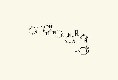 c1ccc(Cc2cnc(N3CCN(c4ncnc(Nc5cnn(C[C@@H]6CNCCO6)c5)n4)CC3)nc2)cc1